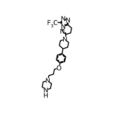 FC(F)(F)c1nnc2n1N=C(N1CCC(c3ccc(OCCCN4CCNCC4)cc3)CC1)CC2